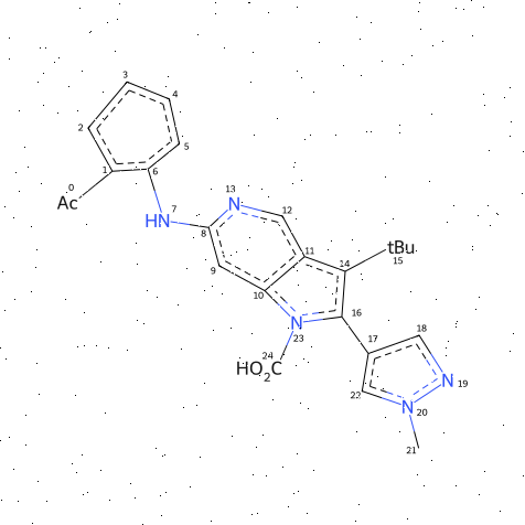 CC(=O)c1ccccc1Nc1cc2c(cn1)c(C(C)(C)C)c(-c1cnn(C)c1)n2C(=O)O